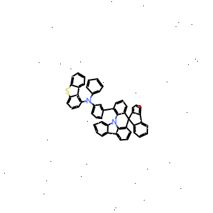 c1ccc(N(c2cccc(-c3cccc4c3-n3c5ccccc5c5cccc(c53)C43c4ccccc4-c4ccccc43)c2)c2cccc3sc4ccccc4c23)cc1